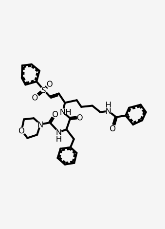 O=C(NCCCCC(C=CS(=O)(=O)c1ccccc1)NC(=O)C(Cc1ccccc1)NC(=O)N1CCOCC1)c1ccccc1